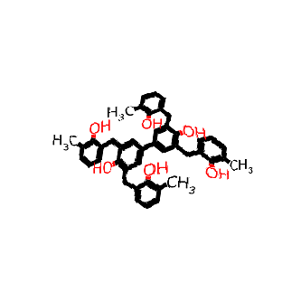 Cc1cccc(Cc2cc(-c3cc(Cc4cccc(C)c4O)c(O)c(Cc4cccc(C)c4O)c3)cc(Cc3cccc(C)c3O)c2O)c1O